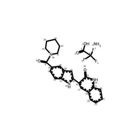 N.O=C(O)C(F)(F)F.O=C(c1ccc2[nH]c(-c3cc4ccccc4[nH]c3=O)cc2c1)N1CCCCC1